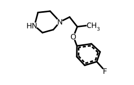 CC(CN1CCNCC1)Oc1ccc(F)cc1